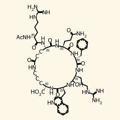 CC(=O)N[C@H](CCCNC(=N)N)C(=O)N[C@H]1CCC(=O)NCCC[C@@H](C(=O)O)NC(=O)[C@H](Cc2c[nH]c3ccccc23)NC(O)[C@H](CCCNC(=N)N)NC(=O)[C@@H](Cc2ccccc2)NC(=O)[C@H](CCC(N)=O)NC1=O